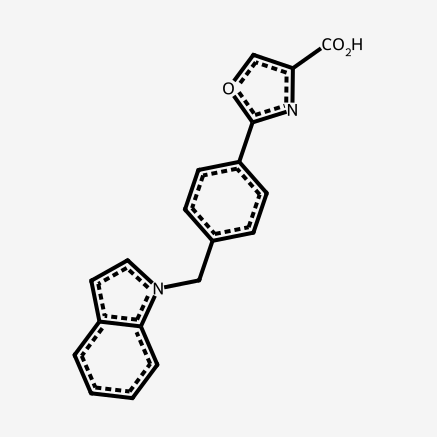 O=C(O)c1coc(-c2ccc(Cn3ccc4ccccc43)cc2)n1